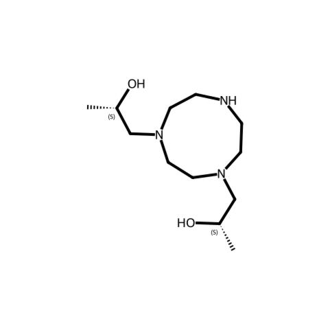 C[C@H](O)CN1CCNCCN(C[C@H](C)O)CC1